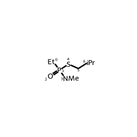 CCP(=O)(NC)SCC(C)C